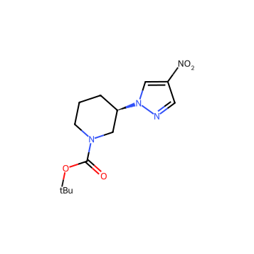 CC(C)(C)OC(=O)N1CCC[C@@H](n2cc([N+](=O)[O-])cn2)C1